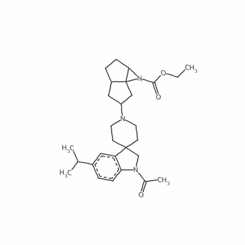 CCOC(=O)N1C2CCC3CC(N4CCC5(CC4)CN(C(C)=O)c4ccc(C(C)C)cc45)CC321